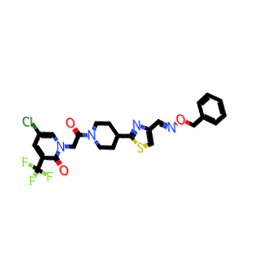 O=C(Cn1cc(Cl)cc(C(F)(F)F)c1=O)N1CCC(c2nc(C=NOCc3ccccc3)cs2)CC1